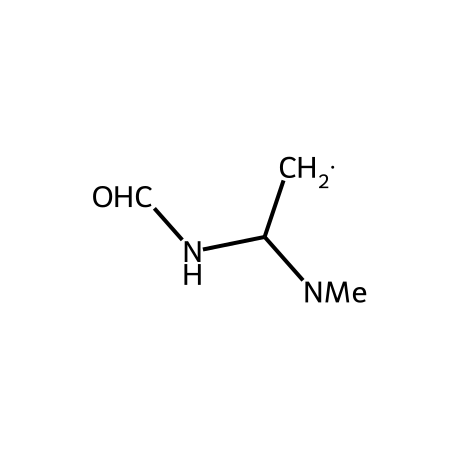 [CH2]C(NC)NC=O